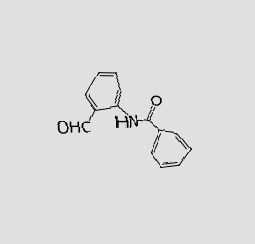 O=Cc1ccccc1NC(=O)c1ccccc1